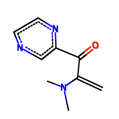 C=C(C(=O)c1cnccn1)N(C)C